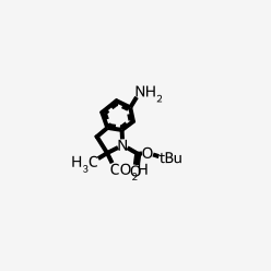 CC(C)(C)OC(=O)N1c2cc(N)ccc2CC1(C)C(=O)O